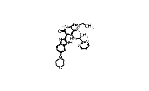 CCn1cc2[nH]c(=O)c(-c3nc4ccc(N5CCOCC5)cc4[nH]3)c(NC(C)c3ncccn3)c2n1